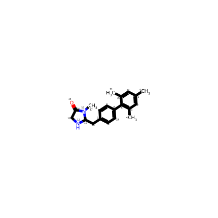 Cc1cc(C)c(-c2ccc(CC3NCC(=O)N3C)cc2)c(C)c1